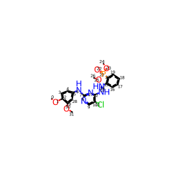 COc1ccc(Nc2ncc(Cl)c(NNc3ccccc3P(=O)(OC)OC)n2)cc1OC